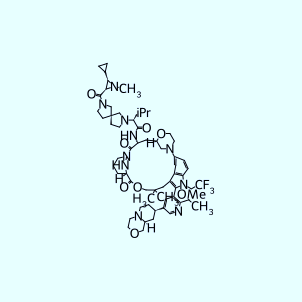 CO[C@@H](C)c1ncc([C@@H]2CCN3CCOC[C@@H]3C2)cc1-c1c2c3cc(ccc3n1CC(F)(F)F)N1CCO[C@@H](C[C@H](NC(=O)[C@H](C(C)C)N3CC[C@]4(CCN(C(=O)[C@H]5[C@@H](C6CC6)N5C)C4)C3)C(=O)N3CCC[C@H](N3)C(=O)OCC(C)(C)C2)C1